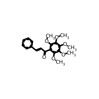 COc1c(OC)c(OC)c(C(=O)/C=C/c2ccccc2)c(OC)c1OC